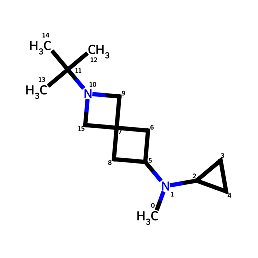 CN(C1CC1)C1CC2(C1)CN(C(C)(C)C)C2